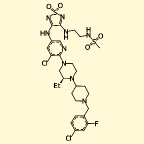 CC[C@H]1CN(c2ncc(NC3=NS(=O)(=O)N=C3NCCNS(C)(=O)=O)cc2Cl)CCN1C1CCN(Cc2ccc(Cl)cc2F)CC1